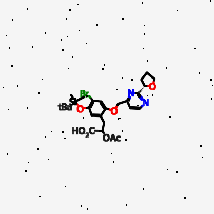 CC(=O)OC(Cc1cc(O[Si](C)(C)C(C)(C)C)c(Br)cc1OCc1ccnc([C@@H]2CCCO2)n1)C(=O)O